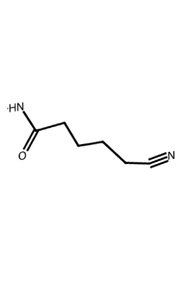 N#CCCCCC([NH])=O